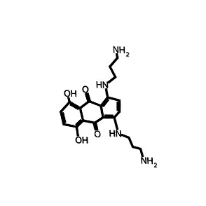 NCCCNc1ccc(NCCCN)c2c1C(=O)c1c(O)ccc(O)c1C2=O